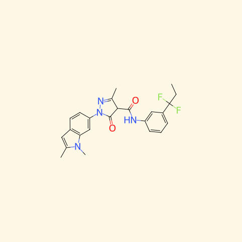 CCC(F)(F)c1cccc(NC(=O)C2C(=O)N(c3ccc4cc(C)n(C)c4c3)N=C2C)c1